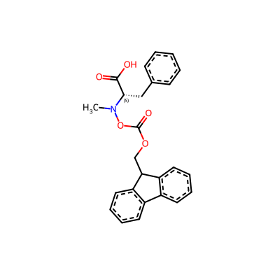 CN(OC(=O)OCC1c2ccccc2-c2ccccc21)[C@@H](Cc1ccccc1)C(=O)O